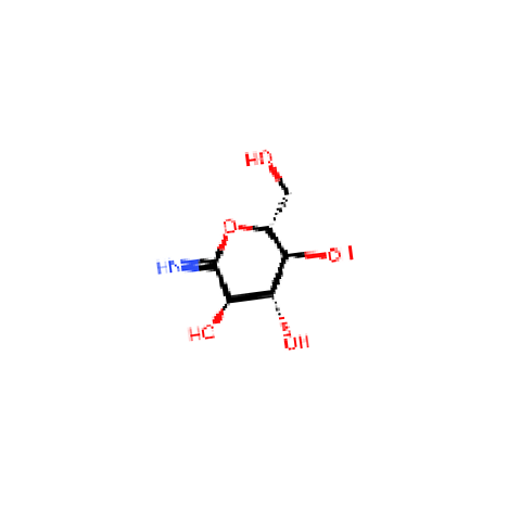 N=C1O[C@H](CO)[C@@H](O)[C@H](O)[C@H]1O